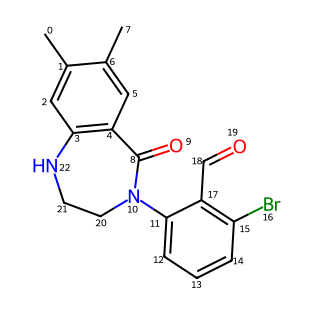 Cc1cc2c(cc1C)C(=O)N(c1cccc(Br)c1C=O)CCN2